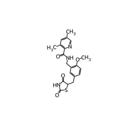 COc1ccc(CC2SC(=O)NC2=O)cc1CNC(=O)c1ncc(C)cc1C